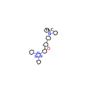 Cc1ccccc1N(c1ccccc1)c1ccc(-c2ccc3c(c2)oc2ccc(-c4nc(-c5ccccc5)nc(-c5ccccc5)n4)cc23)cc1